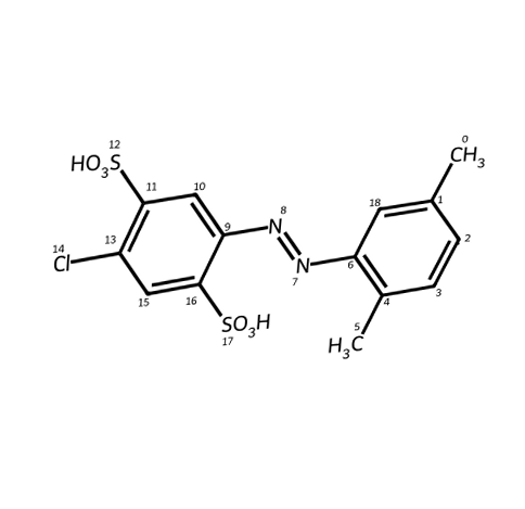 Cc1[c]cc(C)c(/N=N/c2cc(S(=O)(=O)O)c(Cl)cc2S(=O)(=O)O)c1